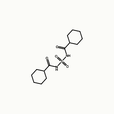 O=C(NS(=O)(=O)NC(=O)C1CCCCC1)C1CCCCC1